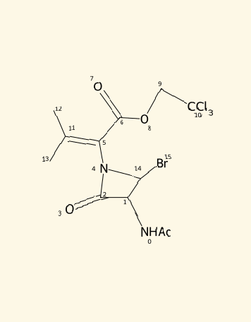 CC(=O)NC1C(=O)N(C(C(=O)OCC(Cl)(Cl)Cl)=C(C)C)C1Br